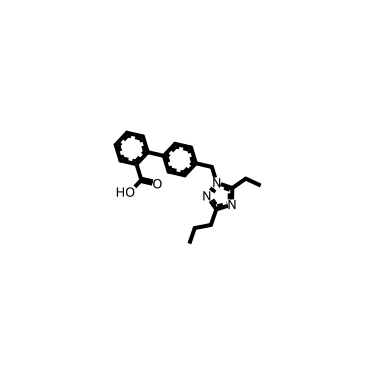 CCCc1nc(CC)n(Cc2ccc(-c3ccccc3C(=O)O)cc2)n1